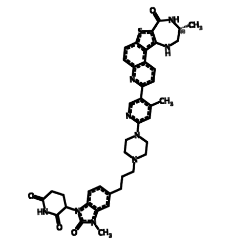 Cc1cc(N2CCN(CCCc3ccc4c(c3)n(C)c(=O)n4C3CCC(=O)NC3=O)CC2)ncc1-c1ccc2c(ccc3sc4c(c32)NC[C@@H](C)NC4=O)n1